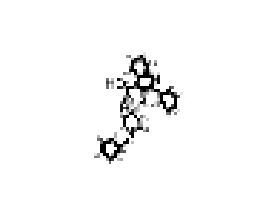 O=C(O)c1c(CNC2CCN(Cc3ccccc3)CC2)c(-c2ccccc2)nc2ccccc12